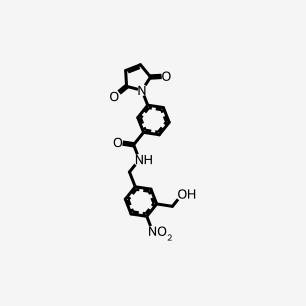 O=C(NCc1ccc([N+](=O)[O-])c(CO)c1)c1cccc(N2C(=O)C=CC2=O)c1